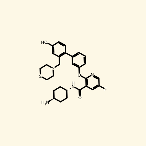 N[C@H]1CC[C@H](NC(=O)c2cc(F)cnc2Oc2cccc(-c3ccc(O)cc3CN3CCSCC3)c2)CC1